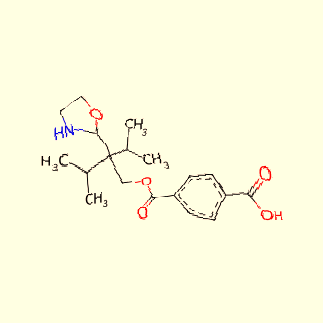 CC(C)C(COC(=O)c1ccc(C(=O)O)cc1)(C(C)C)C1NCCO1